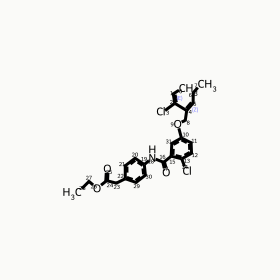 C/C=C(Cl)\C(=C/CC)COc1ccc(Cl)c(C(=O)Nc2ccc(CC(=O)OCC)cc2)c1